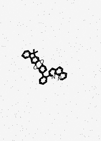 CC1(C)c2ccccc2-c2cc3c(cc21)Oc1ccc(-c2ccccc2-c2ccc4ccc5cccnc5c4n2)cc1O3